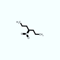 CCCC(CCC)=S(=O)=O